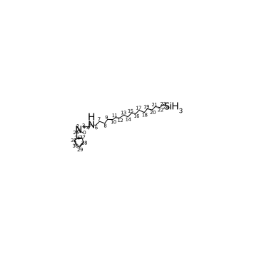 C[N+](C)(CCNCCCCCCCCCCCCCCCCCC[SiH3])Cc1ccccc1